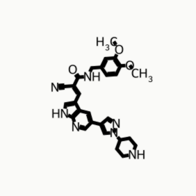 COc1ccc(CNC(=O)/C(C#N)=C/c2c[nH]c3ncc(-c4cnn(C5CCNCC5)c4)cc23)cc1OC